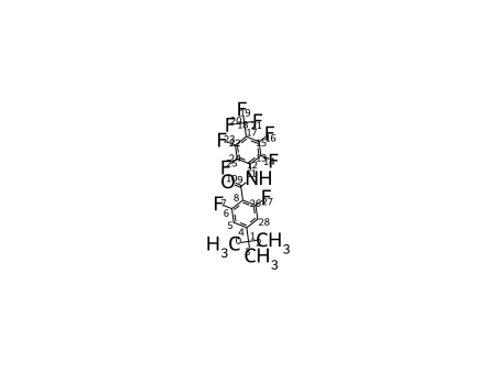 CC(C)(C)c1cc(F)c(C(=O)Nc2c(F)c(F)c(C(F)(F)F)c(F)c2F)c(F)c1